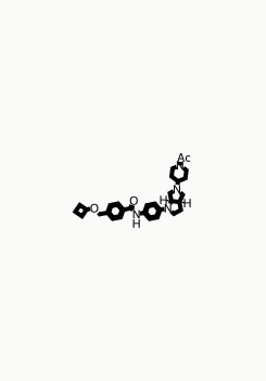 CC(=O)N1CCC(N2C[C@H]3CCN(c4ccc(NC(=O)c5ccc(COC6CCC6)cc5)cc4)[C@H]3C2)CC1